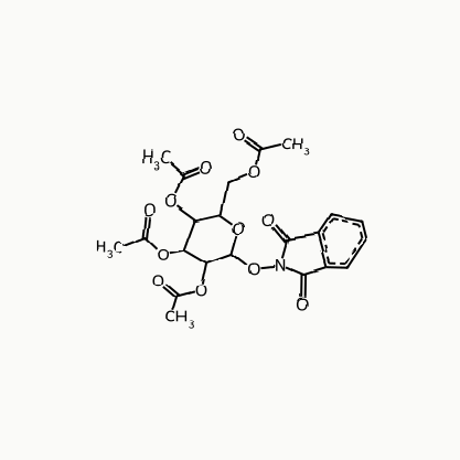 CC(=O)OCC1OC(ON2C(=O)c3ccccc3C2=O)C(OC(C)=O)C(OC(C)=O)C1OC(C)=O